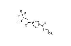 CCOC(=O)c1ccc(C(=O)CC(O)C(F)(F)F)cc1